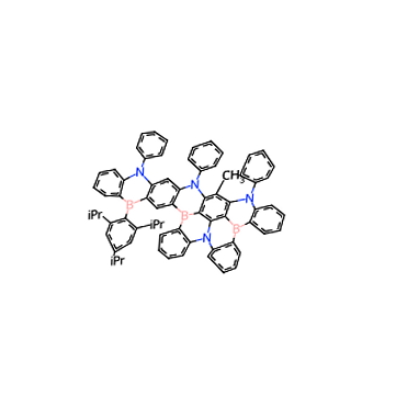 Cc1c2c3c4c5c1N(c1ccccc1)c1cc6c(cc1B5c1ccccc1N4c1ccccc1B3c1ccccc1N2c1ccccc1)B(c1c(C(C)C)cc(C(C)C)cc1C(C)C)c1ccccc1N6c1ccccc1